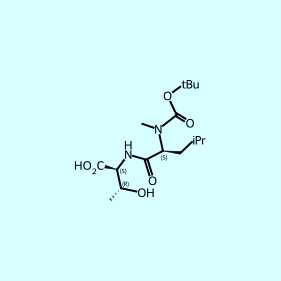 CC(C)C[C@@H](C(=O)N[C@H](C(=O)O)[C@@H](C)O)N(C)C(=O)OC(C)(C)C